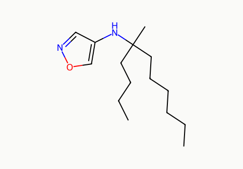 CCCCCCC(C)(CCCC)Nc1cnoc1